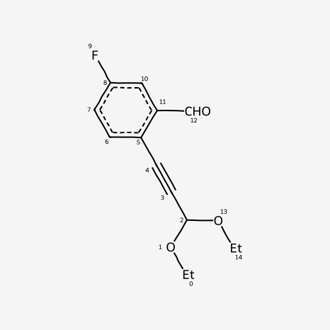 CCOC(C#Cc1ccc(F)cc1C=O)OCC